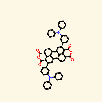 O=C1OC(=O)c2c(-c3cccc(N(c4ccccc4)c4ccccc4)c3)cc3c4ccc5c6c(c(-c7cccc(N(c8ccccc8)c8ccccc8)c7)cc(c7ccc1c2c73)c64)C(=O)OC5=O